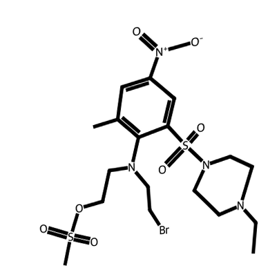 CCN1CCN(S(=O)(=O)c2cc([N+](=O)[O-])cc(C)c2N(CCBr)CCOS(C)(=O)=O)CC1